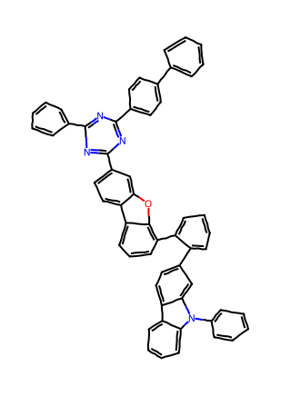 c1ccc(-c2ccc(-c3nc(-c4ccccc4)nc(-c4ccc5c(c4)oc4c(-c6ccccc6-c6ccc7c8ccccc8n(-c8ccccc8)c7c6)cccc45)n3)cc2)cc1